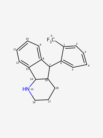 FC(F)(F)c1ccccc1C1c2ccccc2C2NCCCC21